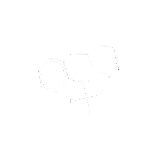 FC(F)(F)Oc1ccccc1OC1CC[N]CC1